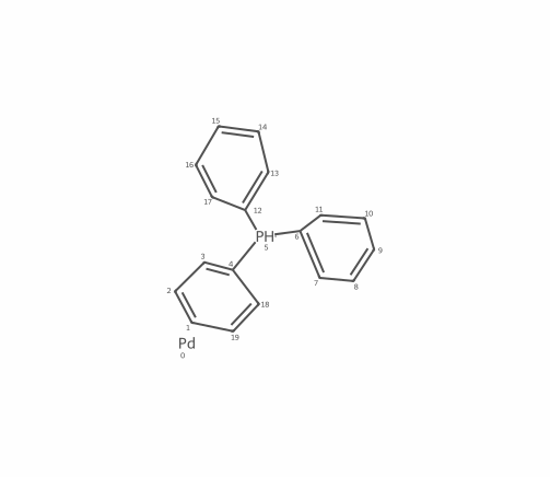 [Pd].c1ccc([PH](c2ccccc2)c2ccccc2)cc1